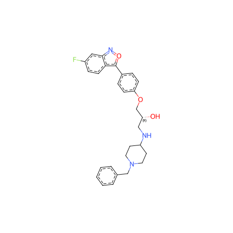 O[C@H](CNC1CCN(Cc2ccccc2)CC1)COc1ccc(-c2onc3cc(F)ccc23)cc1